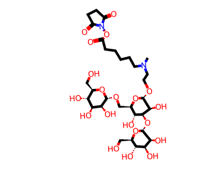 CN(CCCCCC(=O)ON1C(=O)CCC1=O)CCO[C@H]1O[C@H](CO[C@H]2O[C@H](CO)[C@@H](O)[C@H](O)[C@@H]2O)[C@@H](O)[C@H](O[C@H]2O[C@H](CO)[C@@H](O)[C@H](O)[C@@H]2O)[C@@H]1O